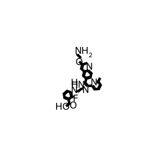 Cc1cccc(-c2nc(CNc3cccc(C(=O)O)c3F)[nH]c2-c2ccc3ncc(OCCN)cc3c2)n1